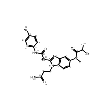 CCC(CC)C(=O)N(C)c1ccc2c(c1)nc(NC(=O)Nc1ccc(C#N)cn1)n2CCC(N)=O